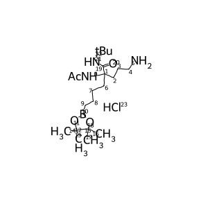 CC(=O)NC(CCCN)(CCCCB1OC(C)(C)C(C)(C)O1)C(=O)NC(C)(C)C.Cl